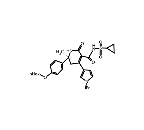 CCCCCCOc1ccc([C@]2(C)CC(c3ccn(C(C)C)c3)=C(C(=O)NS(=O)(=O)C3CC3)C(=O)N2)cc1